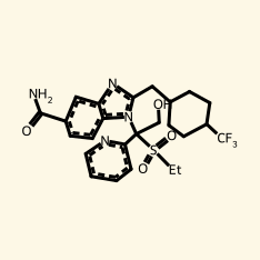 CCS(=O)(=O)C(CO)(c1ccccn1)n1c(CC2CCC(C(F)(F)F)CC2)nc2cc(C(N)=O)ccc21